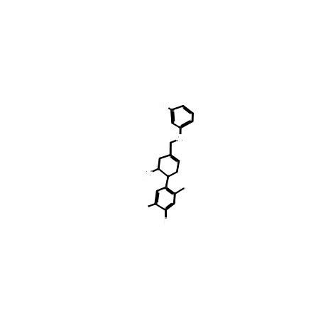 NC1CC(CNc2cccc(F)c2)=CCC1c1cc(F)c(F)cc1F